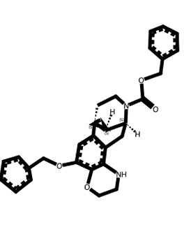 O=C(OCc1ccccc1)N1CC[C@@]23CCCC[C@@H]2[C@@H]1Cc1c3cc(OCc2ccccc2)c2c1NCCO2